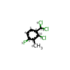 Cc1c(F)c[c]c(C(Cl)Cl)c1Cl